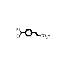 CCC(CC)c1ccc(C=CC(=O)O)cc1